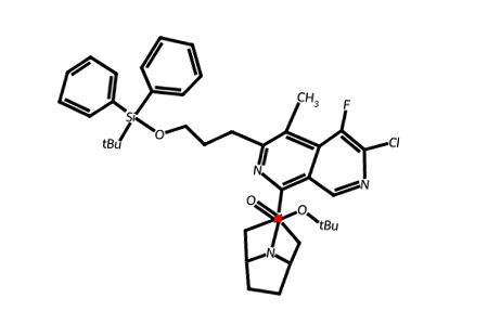 Cc1c(CCCO[Si](c2ccccc2)(c2ccccc2)C(C)(C)C)nc(N2CC3CCC(C2)N3C(=O)OC(C)(C)C)c2cnc(Cl)c(F)c12